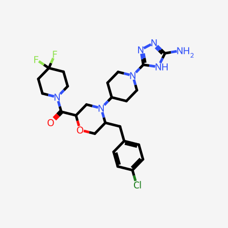 Nc1nnc(N2CCC(N3CC(C(=O)N4CCC(F)(F)CC4)OCC3Cc3ccc(Cl)cc3)CC2)[nH]1